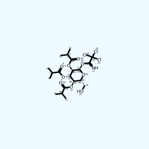 CC(C)C(=O)O[C@@H]1[C@@H](OC(=O)C(C)C)[C@@H](OC(=N)C(Cl)(Cl)Cl)O[C@H](CO)[C@H]1OC(=O)C(C)C